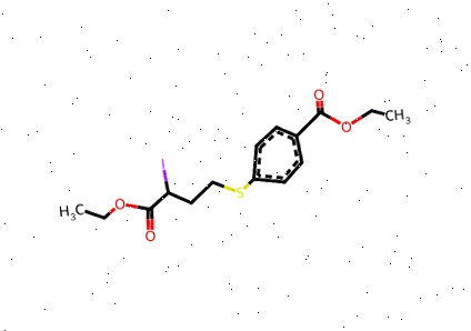 CCOC(=O)c1ccc(SCCC(I)C(=O)OCC)cc1